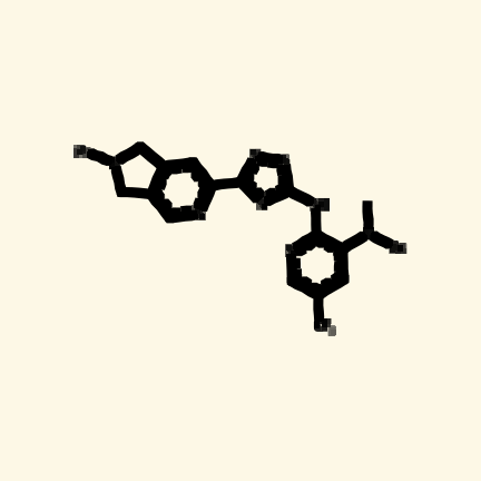 CC(=O)N(C)c1cc(C(F)(F)F)cnc1Nc1nc(-c2cc3c(cn2)CN(C(C)C)C3)ns1